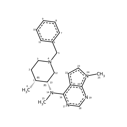 C[C@@H]1CCN(Cc2ccccc2)C[C@@H]1N(C)c1ncnc2c1ccn2C